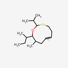 CCC(C)C1OC(C(C)C)SCC/C=C/CC1C